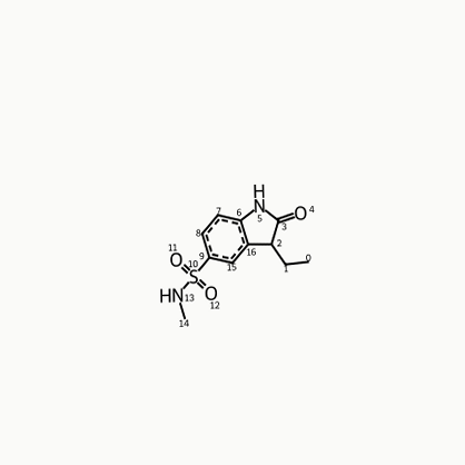 CCC1C(=O)Nc2ccc(S(=O)(=O)NC)cc21